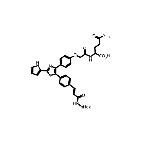 CCCCCCNC(=O)/C=C/c1ccc(-c2sc(-c3ccc[nH]3)nc2-c2ccc(OCC(=O)NC(CCC(N)=O)C(=O)O)cc2)cc1